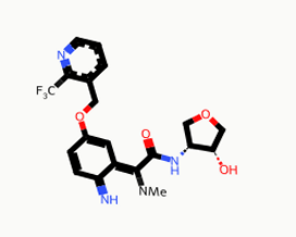 CN/C(C(=O)N[C@@H]1COC[C@@H]1O)=C1/C=C(OCc2cccnc2C(F)(F)F)C=CC1=N